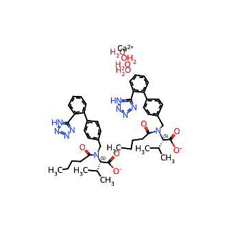 CCCCC(=O)N(Cc1ccc(-c2ccccc2-c2nnn[nH]2)cc1)[C@H](C(=O)[O-])C(C)C.CCCCC(=O)N(Cc1ccc(-c2ccccc2-c2nnn[nH]2)cc1)[C@H](C(=O)[O-])C(C)C.O.O.O.O.[Ca+2]